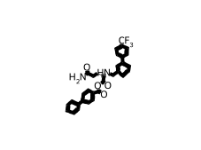 NC(=O)CC[C@H](NCc1cccc(-c2ccc(C(F)(F)F)cc2)c1)C(=O)OC(=O)c1ccc(-c2ccccc2)cc1